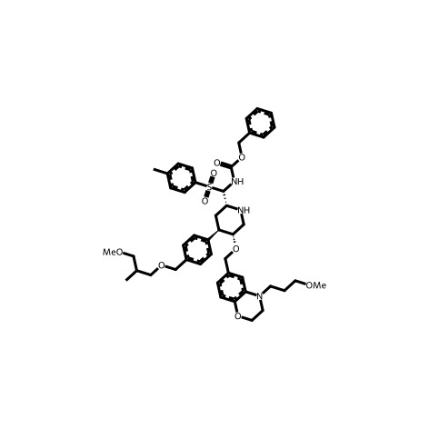 COCCCN1CCOc2ccc(CO[C@H]3CN[C@@H](C(NC(=O)OCc4ccccc4)S(=O)(=O)c4ccc(C)cc4)C[C@@H]3c3ccc(COCC(C)COC)cc3)cc21